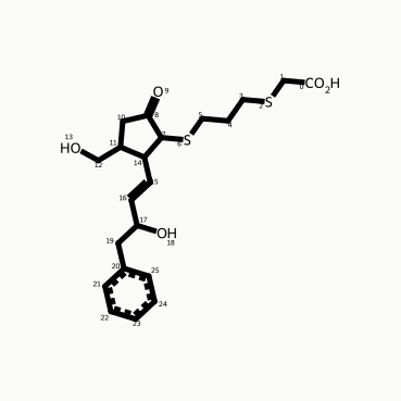 O=C(O)CSCCCSC1C(=O)CC(CO)C1C=CC(O)Cc1ccccc1